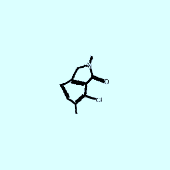 Cc1ccc2c(c1Cl)C(=O)N(C)C2